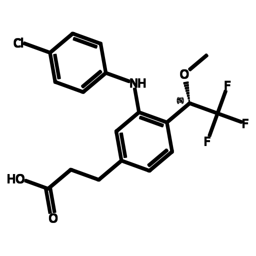 CO[C@@H](c1ccc(CCC(=O)O)cc1Nc1ccc(Cl)cc1)C(F)(F)F